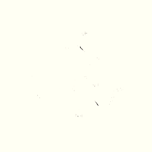 O=C(NCCc1ccccn1)[C@H](Cc1ccccc1)NC(=O)[C@H]1N[C@@H]1C(=O)O.[NaH]